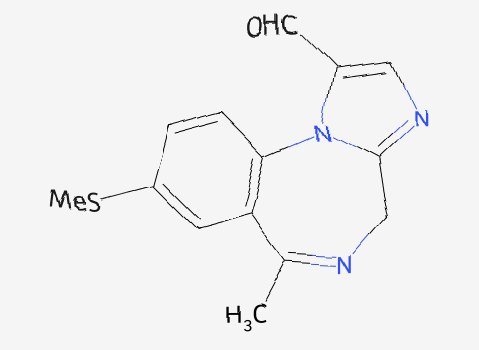 CSc1ccc2c(c1)C(C)=NCc1ncc(C=O)n1-2